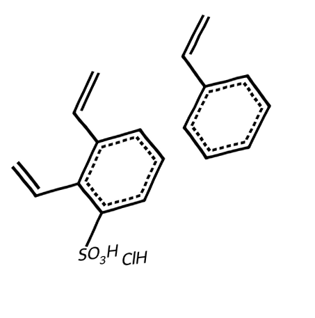 C=Cc1cccc(S(=O)(=O)O)c1C=C.C=Cc1ccccc1.Cl